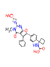 Cn1c(N2CC(O)C2)nc2oc(-c3ccc(C4(NC(=O)O)CCC4)cc3)c(-c3ccccc3)c2c1=O